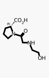 O=C(O)[C@H]1CCCN1C(=O)CNCCO